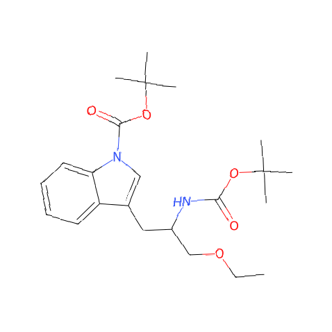 CCOCC(Cc1cn(C(=O)OC(C)(C)C)c2ccccc12)NC(=O)OC(C)(C)C